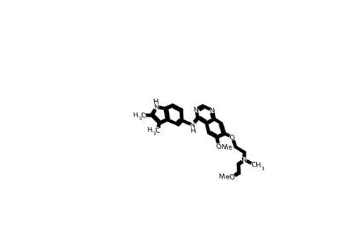 COCCN(C)CCOc1cc2ncnc(Nc3ccc4[nH]c(C)c(C)c4c3)c2cc1OC